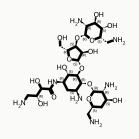 NC[C@@H]1C[C@H](O)[C@@H](N)[C@@H](O[C@H]2[C@H](O[C@@H]3O[C@H](CO)[C@@H](O[C@H]4O[C@@H](CN)[C@@H](O)[C@H](O)[C@H]4N)[C@H]3O)[C@@H](O)[C@H](NC(=O)C(O)[C@H](O)CN)C[C@@H]2N)O1